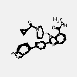 CNC(=O)c1cccc2nc(-c3ccc(-c4ccc5[nH]ncc5c4)cc3)n(C[C@@H]3CCN(C(=O)C4CC4)C3)c12